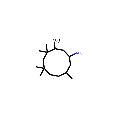 CC1CCC(C)(C)CC(C)(C)C(C(=O)O)CC(N)C1